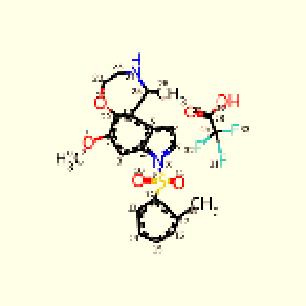 COc1cc2c(ccn2S(=O)(=O)c2ccccc2C)c2c1OCCNC2C.O=C(O)C(F)(F)F